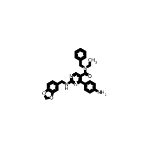 CCN(Cc1ccccc1)C(=O)c1cnc(NCc2ccc3c(c2)OCO3)nc1-c1ccc(N)cc1